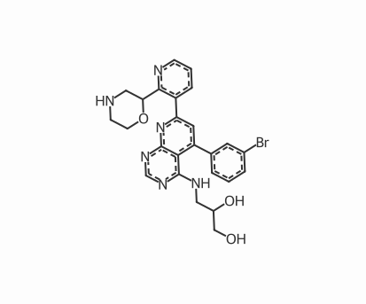 OCC(O)CNc1ncnc2nc(-c3cccnc3C3CNCCO3)cc(-c3cccc(Br)c3)c12